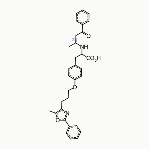 C/C(=C/C(=O)c1ccccc1)NC(Cc1ccc(OCCCc2nc(-c3ccccc3)oc2C)cc1)C(=O)O